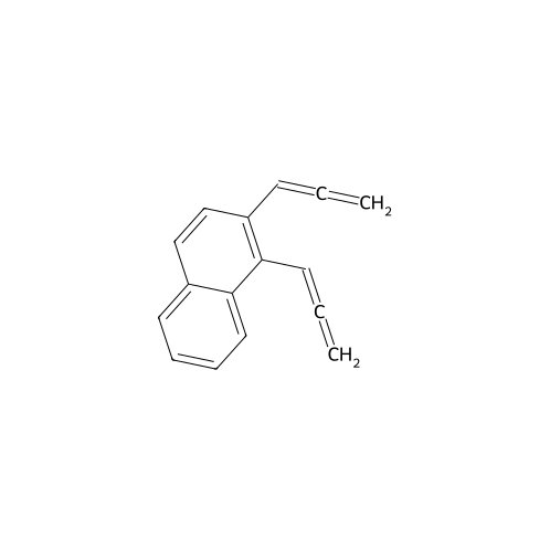 C=C=Cc1ccc2ccccc2c1C=C=C